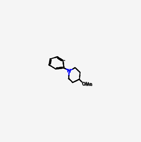 COC1CCN(c2[c]cccc2)CC1